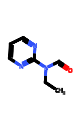 CCN([C]=O)c1ncccn1